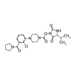 CC(C)C1NC(=O)N(OC(=O)N2CCN(c3cccc(C(=O)N4CCCC4)c3Cl)CC2)C1=O